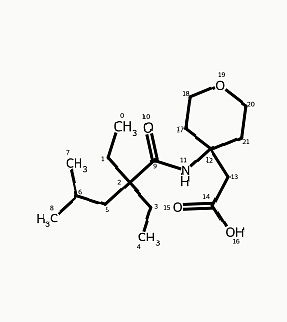 CCC(CC)(CC(C)C)C(=O)NC1(CC(=O)O)CCOCC1